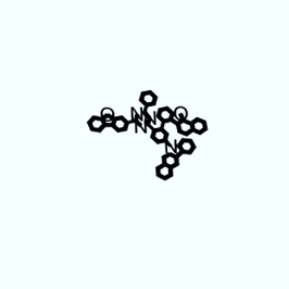 c1ccc(-c2nc(-c3ccc4c(c3)oc3ccccc34)nc(-c3ccc(-n4c5ccccc5c5cc6ccccc6cc54)cc3-c3cccc4oc5c6ccccc6ccc5c34)n2)cc1